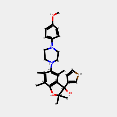 COc1ccc(N2CCN(c3c(C)c(C)c4c(c3C)C(O)(c3ccsc3)C(C)(C)O4)CC2)cc1